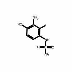 CCCS(=O)(=O)Nc1ccc(C#N)c(N)c1F